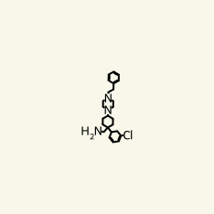 NCC1(C2C=CC=C(Cl)C2)CCC(N2CCN(CCc3ccccc3)CC2)CC1